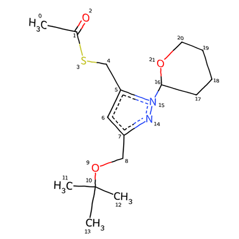 CC(=O)SCc1cc(COC(C)(C)C)nn1C1CCCCO1